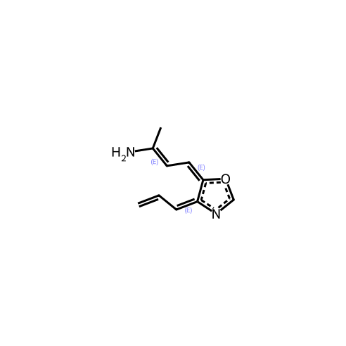 C=C/C=c1/nco/c1=C/C=C(\C)N